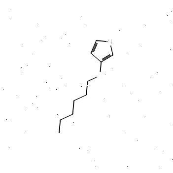 CCCCCCSC1=C[N]C=C1